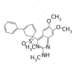 CNc1nc(C2([S+](C)[O-])C=CC=C(c3ccccc3)C2)c2cc(OC)c(OC)cc2n1